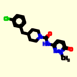 Cn1nc(NC(=O)N2CCC(Cc3cccc(Cl)c3)CC2)ccc1=O